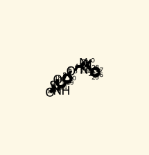 Cn1nc(CCOc2ccc(CC3NC(=O)SC3=O)cc2)nc1-c1ccccc1